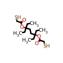 CCC(CC)(CCC(CC)(CC)OC(=O)CS)OC(=O)CS